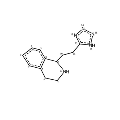 c1ccc2c(c1)CCNC2CCc1nnn[nH]1